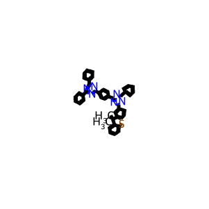 CC1(C)c2ccccc2Sc2ccc(-c3nc(-c4ccccc4)nc(-c4ccc(-c5nc(-c6ccccc6)nc(-c6ccccc6)n5)cc4)n3)cc21